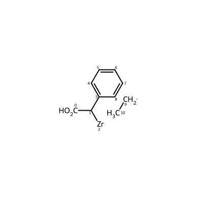 O=C(O)[CH]([Zr])c1ccccc1.[CH2]C